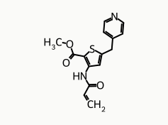 C=CC(=O)Nc1cc(Cc2ccncc2)sc1C(=O)OC